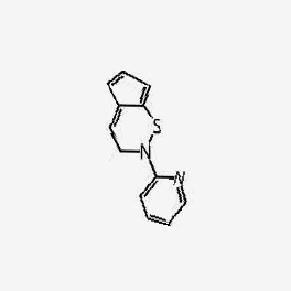 C1=CC2=CCN(c3ccccn3)SC2=C1